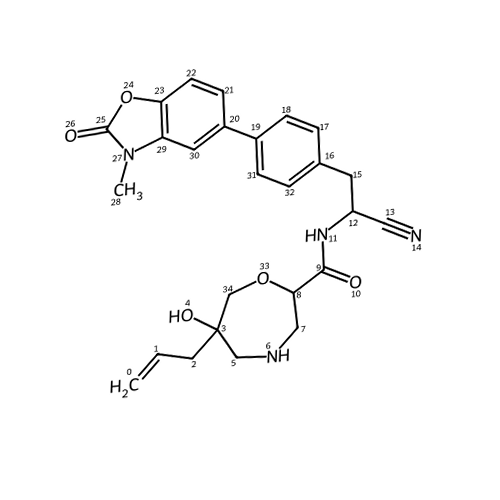 C=CCC1(O)CNCC(C(=O)NC(C#N)Cc2ccc(-c3ccc4oc(=O)n(C)c4c3)cc2)OC1